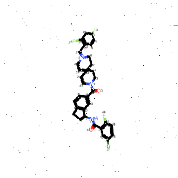 O=C(NC1CCc2ccc(C(=O)N3CCC4(CCN(Cc5ccc(F)cc5F)CC4)CC3)cc21)c1cc(Cl)ccc1F